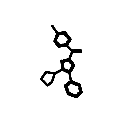 Cc1ccc(C(=O)c2cc(-c3ccccc3)c(N3CCCC3)s2)cc1